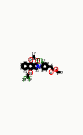 CCOC(=O)Cc1ccc(N2Cc3c(c(OCC)c4ccccc4c3OCC(F)F)C2=O)c(Cl)c1